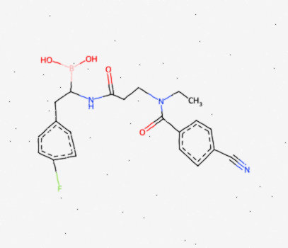 CCN(CCC(=O)NC(Cc1ccc(F)cc1)B(O)O)C(=O)c1ccc(C#N)cc1